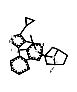 Cc1nc(N2C3CC[C@H]2CC(OCc2c(-c4ccccc4F)noc2C2CC2)C3)ccc1C(=O)O